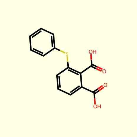 O=C(O)c1cccc(Sc2ccccc2)c1C(=O)O